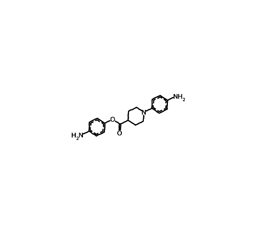 Nc1ccc(OC(=O)C2CCN(c3ccc(N)cc3)CC2)cc1